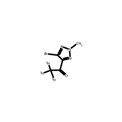 [2H]C([2H])([2H])C(=O)c1nn(C)nc1Br